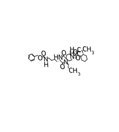 CCCN1C(=O)[C@H](CCCCNC(=O)OCc2ccccc2)NC(=O)C12CCN(C(=O)O[C@@]1(C)CCCC[C@@H]1C(C)C)CC2